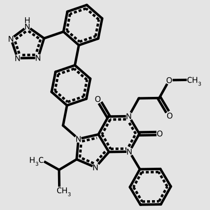 COC(=O)Cn1c(=O)c2c(nc(C(C)C)n2Cc2ccc(-c3ccccc3-c3nnn[nH]3)cc2)n(-c2ccccc2)c1=O